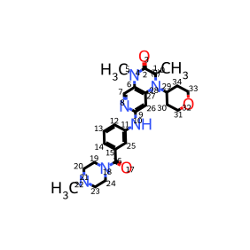 C[C@@H]1C(=O)N(C)c2cnc(Nc3cccc(C(=O)N4CCN(C)CC4)c3)cc2N1C1CCOCC1